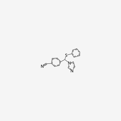 N#Cc1ccc(C(Sc2ccccc2)n2ccnc2)cc1